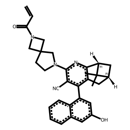 C=CC(=O)N1CC2(CCN(c3nc4c(c(-c5cc(O)cc6ccccc56)c3C#N)C[C@H]3C[C@@H]4C3(C)C)C2)C1